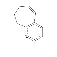 Cc1ccc2c(n1)CCCC=C2